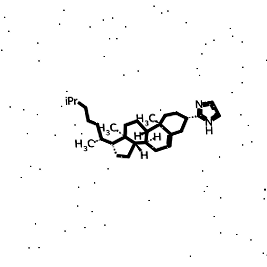 CC(C)CCC[C@@H](C)[C@H]1CC[C@H]2[C@@H]3CC=C4C[C@@H](c5ncc[nH]5)CC[C@]4(C)[C@H]3CC[C@]12C